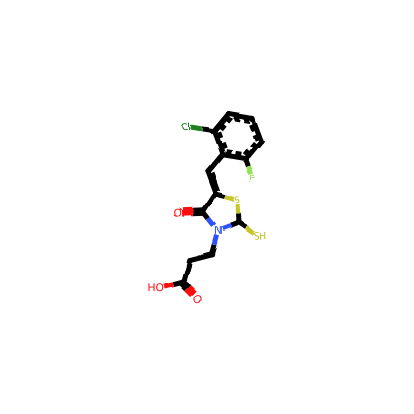 O=C(O)CCN1C(=O)/C(=C/c2c(F)cccc2Cl)SC1S